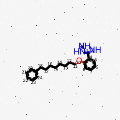 N=C(NN)c1ccccc1OCCCCCCCCc1ccccc1